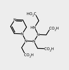 O=C(O)CNN(CC(=O)O)N(CC(=O)O)N(CC(=O)O)N1C=CN=CC1